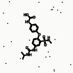 CNS(=O)(=O)c1cc(NC(=O)NC(C)C)ccc1Oc1ccc(NC(=O)O)cc1